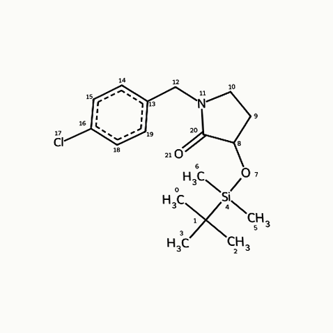 CC(C)(C)[Si](C)(C)OC1CCN(Cc2ccc(Cl)cc2)C1=O